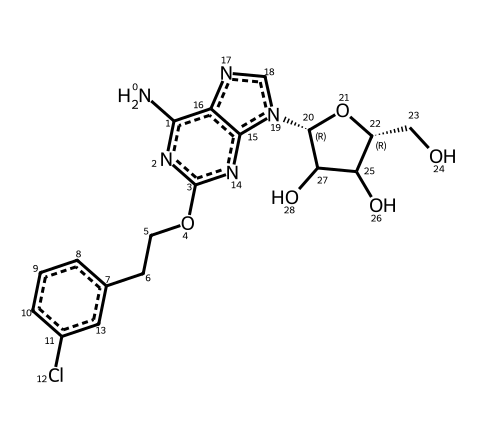 Nc1nc(OCCc2cccc(Cl)c2)nc2c1ncn2[C@@H]1O[C@H](CO)C(O)C1O